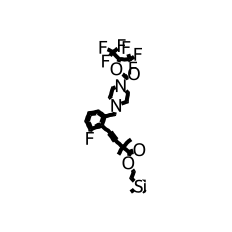 CC(C)(C#Cc1c(F)cccc1CN1CCN(C(=O)OC(C(F)(F)F)C(F)(F)F)CC1)C(=O)OCC[Si](C)(C)C